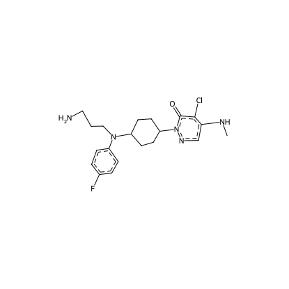 CNc1cnn(C2CCC(N(CCCN)c3ccc(F)cc3)CC2)c(=O)c1Cl